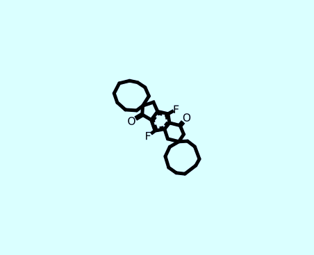 O=C1CC2(CCCCCCCCC2)Cc2c(F)c3c(c(F)c21)CC1(CCCCCCCCC1)C3=O